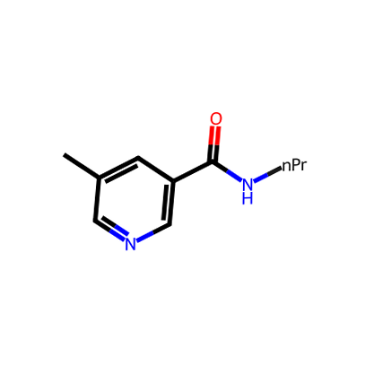 CCCNC(=O)c1cncc(C)c1